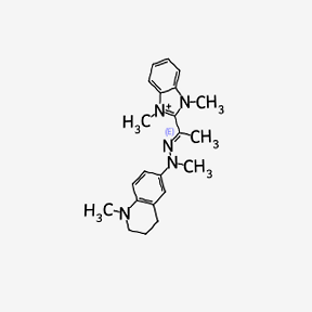 C/C(=N\N(C)c1ccc2c(c1)CCCN2C)c1n(C)c2ccccc2[n+]1C